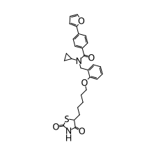 O=C1NC(=O)C(CCCCCOc2ccccc2CN(C(=O)c2ccc(-c3ccco3)cc2)C2CC2)S1